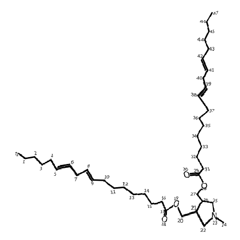 CCCCCC=CCC=CCCCCCCCC(=O)OCC1CN(C)CC1COC(=O)CCCCCCCC=CCC=CCCCCC